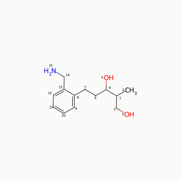 CC(CO)C(O)CCc1ccccc1CN